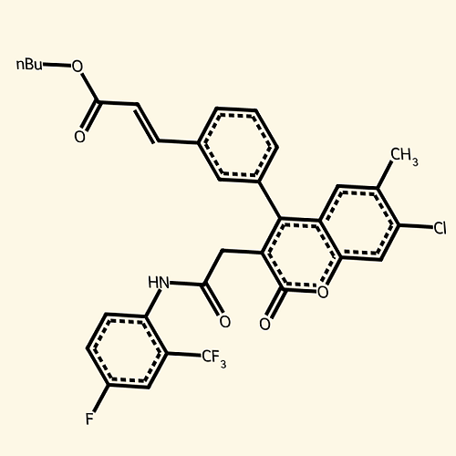 CCCCOC(=O)/C=C/c1cccc(-c2c(CC(=O)Nc3ccc(F)cc3C(F)(F)F)c(=O)oc3cc(Cl)c(C)cc23)c1